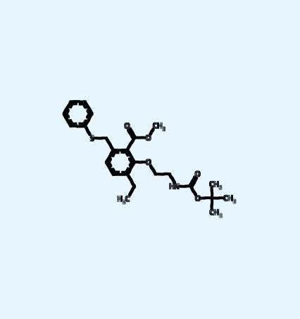 CCc1ccc(CSc2ccccc2)c(C(=O)OC)c1OCCNC(=O)OC(C)(C)C